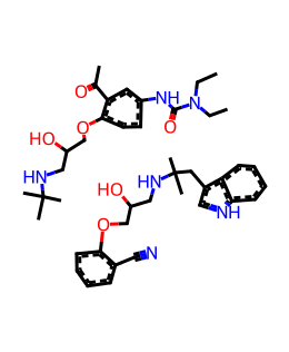 CC(C)(Cc1c[nH]c2ccccc12)NCC(O)COc1ccccc1C#N.CCN(CC)C(=O)Nc1ccc(OCC(O)CNC(C)(C)C)c(C(C)=O)c1